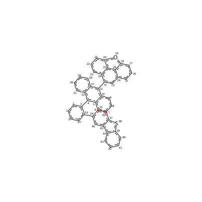 c1ccc(-c2c3ccccc3c(-c3cc4cccc5oc6cccc3c6c45)c3ccccc23)c(-c2ccc3sc4ccccc4c3c2)c1